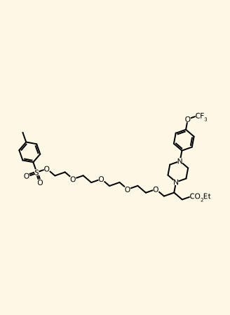 CCOC(=O)CC(COCCOCCOCCOCCOS(=O)(=O)c1ccc(C)cc1)N1CCN(c2ccc(OC(F)(F)F)cc2)CC1